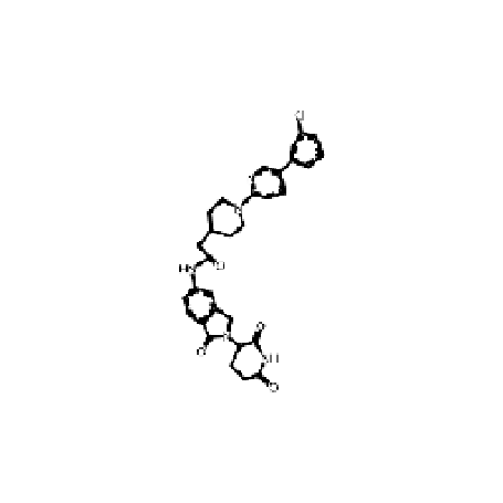 O=C1CCC(N2Cc3cc(NC(=O)CC4CCN(c5ccc(-c6cccc(Cl)c6)cn5)CC4)ccc3C2=O)C(=O)N1